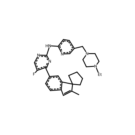 CCN1CCN(Cc2ccc(Nc3ncc(F)c(-c4ccc5c(c4)C4(CCCC4)C(C)=C5)n3)nc2)CC1